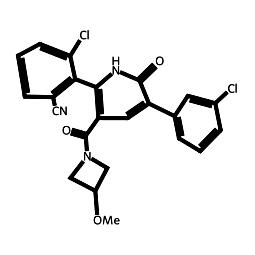 COC1CN(C(=O)c2cc(-c3cccc(Cl)c3)c(=O)[nH]c2-c2c(Cl)cccc2C#N)C1